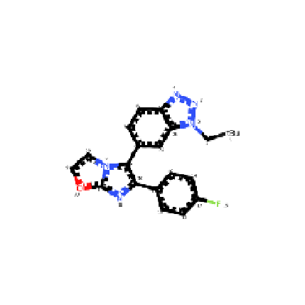 CC(C)(C)Cn1nnc2ccc(-c3c(-c4ccc(F)cc4)nc4occn34)cc21